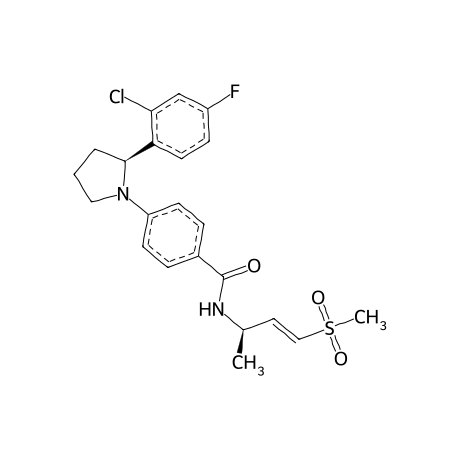 C[C@H](/C=C/S(C)(=O)=O)NC(=O)c1ccc(N2CCC[C@H]2c2ccc(F)cc2Cl)cc1